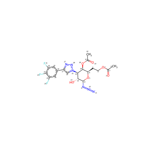 CC(=O)OCC[C@H]1OC(N=[N+]=[N-])[C@H](O)[C@@H](n2cc(-c3cc(F)c(F)c(F)c3)nn2)[C@H]1OC(C)=O